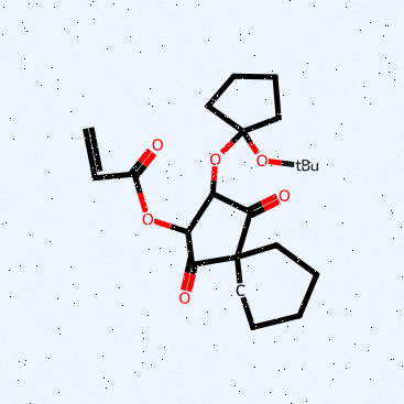 C=CC(=O)OC1C(=O)C2(CCCCC2)C(=O)C1OC1(OC(C)(C)C)CCCC1